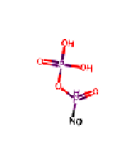 O=N[PH](=O)OP(=O)(O)O